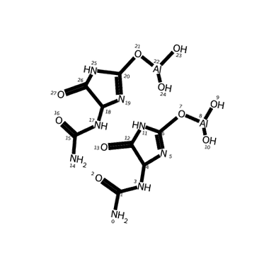 NC(=O)NC1N=C([O][Al]([OH])[OH])NC1=O.NC(=O)NC1N=C([O][Al]([OH])[OH])NC1=O